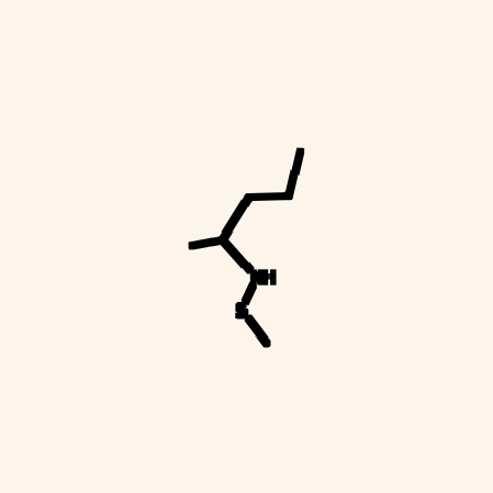 CCCC(C)NSC